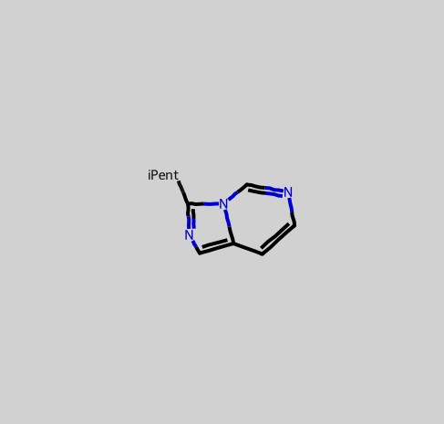 CCCC(C)c1ncc2ccncn12